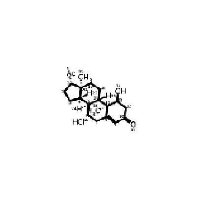 CC(=O)[C@H]1CC[C@H]2[C@@H]3CCC4=CC(=O)CC(O)[C@]4(C)[C@H]3CC[C@]12C.Cl